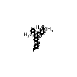 Cc1ccccc1-c1nc2ccc(Oc3ccc(F)cc3)cc2c(=O)n1CC1CCCN(C(C)C)C1